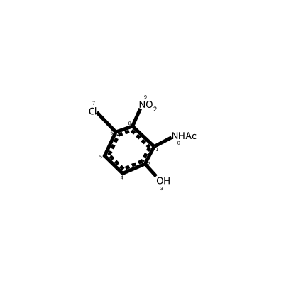 CC(=O)Nc1c(O)ccc(Cl)c1[N+](=O)[O-]